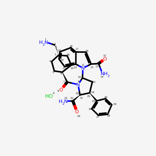 Cl.NC[C@H]1CC[C@H](C(=O)N2C(n3c(C(N)=O)cc4ccccc43)C[C@@H](c3ccccc3)[C@H]2C(N)=O)CC1